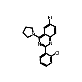 CCc1ccc2nc(-c3ccccc3Cl)nc(N3CCCC3)c2c1